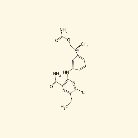 CCc1nc(C(N)=O)c(Nc2cccc([C@H](C)COC(N)=O)c2)nc1Cl